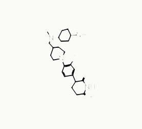 CN(CC1CCN(c2ccc(C3CCC(=O)NC3=O)cc2F)CC1)[C@H]1CC[C@H](N)CC1